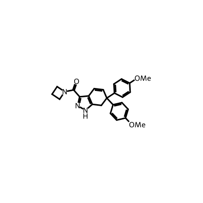 COc1ccc(C2(c3ccc(OC)cc3)C=Cc3c(C(=O)N4CCC4)n[nH]c3C2)cc1